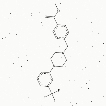 COC(=O)c1ccc(CN2CCN(c3cccc(C(F)(F)F)c3)CC2)cc1